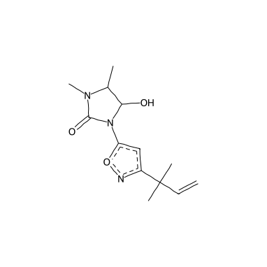 C=CC(C)(C)c1cc(N2C(=O)N(C)C(C)C2O)on1